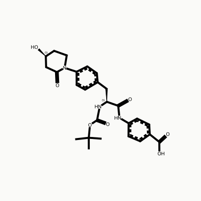 CC(C)(C)OC(=O)N[C@@H](Cc1ccc(N2CC[C@H](O)CC2=O)cc1)C(=O)Nc1ccc(C(=O)O)cc1